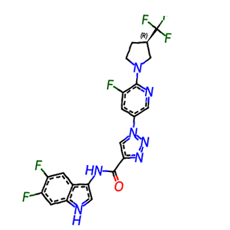 O=C(Nc1c[nH]c2cc(F)c(F)cc12)c1cn(-c2cnc(N3CC[C@@H](C(F)(F)F)C3)c(F)c2)nn1